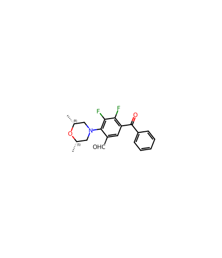 C[C@@H]1CN(c2c(C=O)cc(C(=O)c3ccccc3)c(F)c2F)C[C@H](C)O1